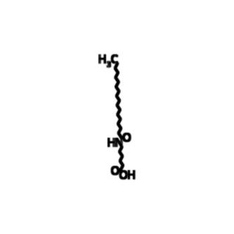 CCCCCCCCCCCCCCCCCC(=O)NCCCCCC(=O)O